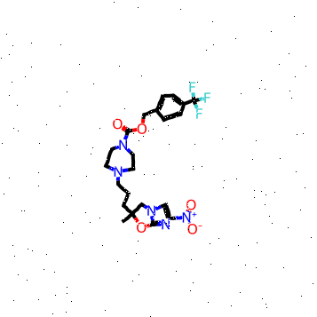 CC1(CCCN2CCN(C(=O)OCc3ccc(C(F)(F)F)cc3)CC2)Cn2cc([N+](=O)[O-])nc2O1